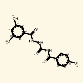 O=C(NNC(=S)NC(=O)c1ccc(Br)cc1)c1cc(O)cc(O)c1